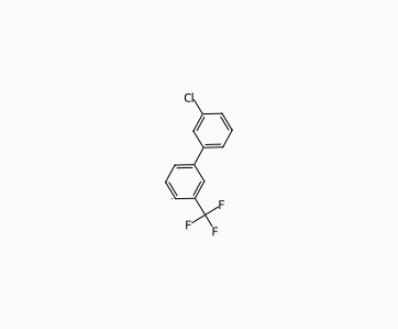 FC(F)(F)c1[c]ccc(-c2cccc(Cl)c2)c1